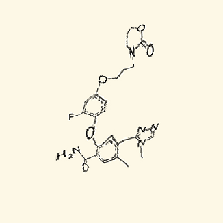 Cc1cc(C(N)=O)c(Oc2ccc(OCCCN3CCOC3=O)cc2F)cc1-c1nncn1C